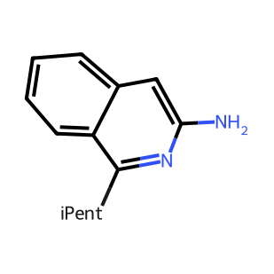 CCCC(C)c1nc(N)cc2ccccc12